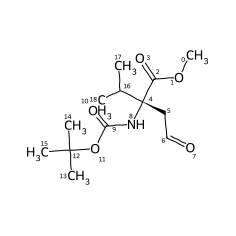 COC(=O)[C@](CC=O)(NC(=O)OC(C)(C)C)C(C)C